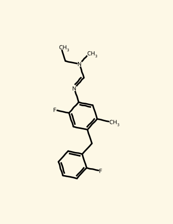 CCN(C)C=Nc1cc(C)c(Cc2ccccc2F)cc1F